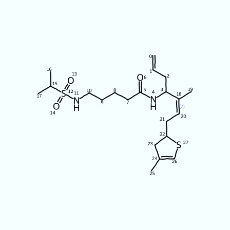 C=CCC(NC(=O)CCCCNS(=O)(=O)C(C)C)/C(C)=C\CC1CC(C)=CS1